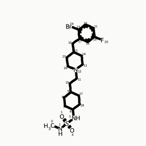 CNS(=O)(=O)NC1CCC(CCN2CCC(Cc3cc(F)ccc3Br)CC2)CC1